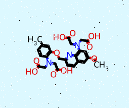 COc1cc(N(CC(=O)O)CC(=O)O)c2nc(COc3cc(C)ccc3N(CC(=O)O)CC(=O)O)ccc2c1